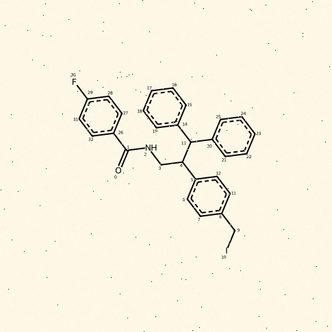 O=C(NCC(c1ccc(CI)cc1)C(c1ccccc1)c1ccccc1)c1ccc(F)cc1